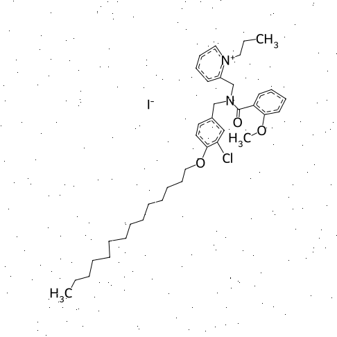 CCCCCCCCCCCCCCOc1ccc(CN(Cc2cccc[n+]2CCC)C(=O)c2ccccc2OC)cc1Cl.[I-]